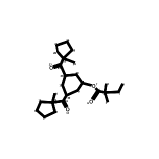 CCC(C)(C)C(=O)OC1CC(C(=O)C2(C)CCCC2)CC(C(=O)C2(C)CCCC2)C1